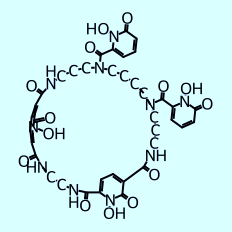 O=C1NCCCN(C(=O)c2cccc(=O)n2O)CCCCN(C(=O)c2cccc(=O)n2O)CCCNC(=O)c2ccc(n(O)c2=O)C(=O)NCCNC(=O)c2ccc1c(=O)n2O